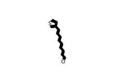 O=CC=CC=CC=CC=Cc1ccsc1